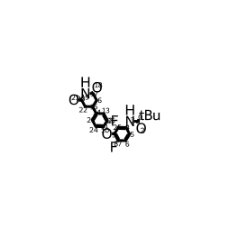 CC(C)(C)C(=O)Nc1ccc(F)c(Oc2ccc(C3CC(=O)NC(=O)C3)cc2)c1F